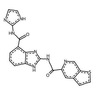 O=C(Nc1nc2c(C(=O)Nc3ncc[nH]3)cccc2[nH]1)c1cc2ccsc2cn1